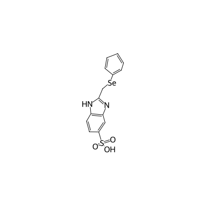 O=S(=O)(O)c1ccc2[nH]c(C[Se]c3ccccc3)nc2c1